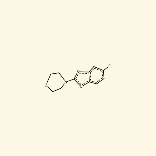 Clc1ccc2nc(N3CCOCC3)sc2c1